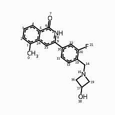 Cc1cccc2c(=O)[nH]c(-c3ccc(CN4CC(O)C4)c(F)c3)cc12